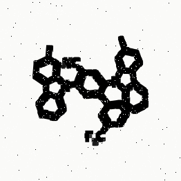 Cc1ccc2c3ccccc3n(-c3cc(-c4cccc(C(F)(F)F)c4)c(-n4c5ccccc5c5ccc(C)cc54)cc3C#N)c2c1